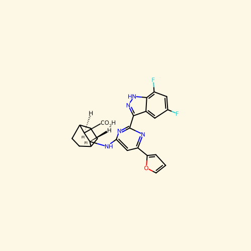 O=C(O)[C@@H]1C2CCC(CC2)[C@H]1Nc1cc(-c2ccco2)nc(-c2n[nH]c3c(F)cc(F)cc23)n1